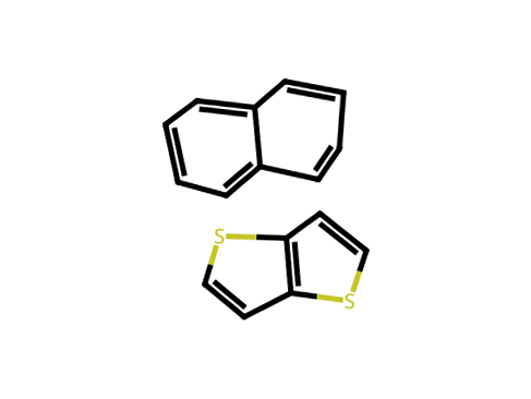 c1cc2sccc2s1.c1ccc2ccccc2c1